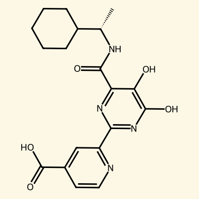 C[C@H](NC(=O)c1nc(-c2cc(C(=O)O)ccn2)nc(O)c1O)C1CCCCC1